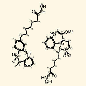 CN1c2ccccc2Nc2cc(OCCCCCC(=O)NO)ccc2S1(=O)=O.COC1=CNc2ccccc2C2=C1C=CS(=O)(=O)N2CCCCCC(=O)NO